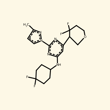 Cc1ccn(-c2nc(NC3CCC(F)(F)CC3)cc(C3COCCC3(F)F)n2)n1